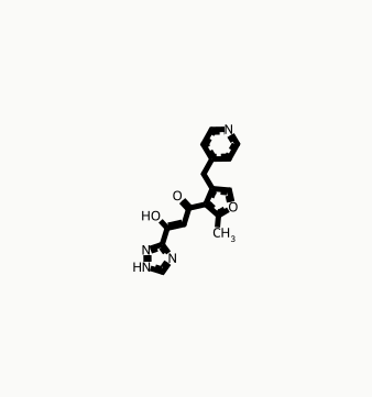 Cc1occ(Cc2ccncc2)c1C(=O)C=C(O)c1nc[nH]n1